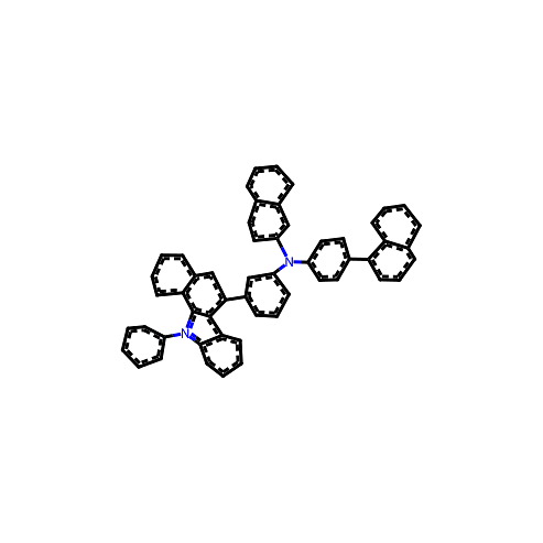 c1ccc(-n2c3ccccc3c3c(-c4cccc(N(c5ccc(-c6cccc7ccccc67)cc5)c5ccc6ccccc6c5)c4)cc4ccccc4c32)cc1